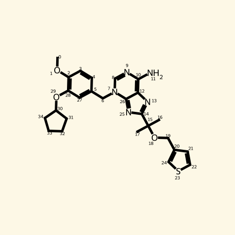 COc1ccc(Cn2cnc(N)c3nc(C(C)(C)OCc4ccsc4)nc2-3)cc1OC1CCCC1